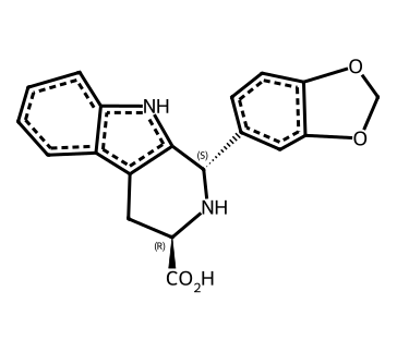 O=C(O)[C@H]1Cc2c([nH]c3ccccc23)[C@H](c2ccc3c(c2)OCO3)N1